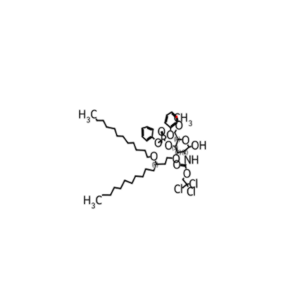 CCCCCCCCCCCCO[C@H](CCCCCCCCCCC)CCO[C@H]1[C@H](OP(=O)(Oc2ccccc2)Oc2ccccc2)[C@@H](COC)OC(O)[C@@H]1NC(=O)OCC(Cl)(Cl)Cl